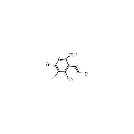 Nc1c(F)c(Cl)nc(C(=O)O)c1/C=C/Cl